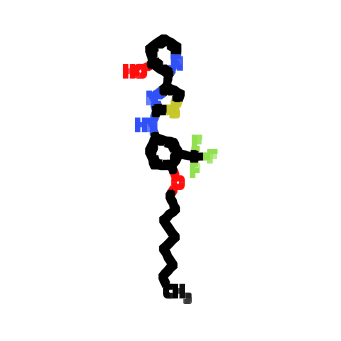 CCCCCCCCOc1ccc(Nc2nc(-c3ncccc3O)cs2)cc1C(F)(F)F